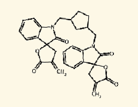 C=C1CC2(OC1=O)C(=O)N(CC1CCC(CN3C(=O)C4(CC(=C)C(=O)O4)c4ccccc43)C1)c1ccccc12